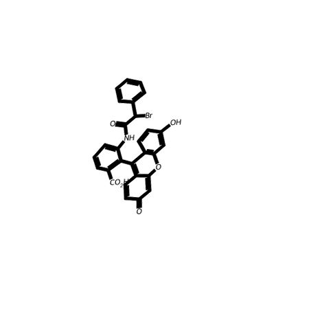 O=C(O)c1cccc(NC(=O)C(Br)c2ccccc2)c1-c1c2ccc(=O)cc-2oc2cc(O)ccc12